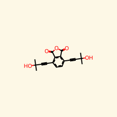 CC(C)(O)C#Cc1ccc(C#CC(C)(C)O)c2c1C(=O)OC2=O